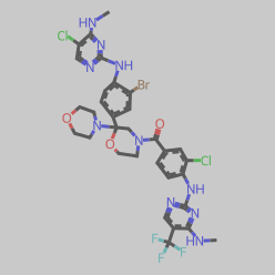 CNc1nc(Nc2ccc(C3(N4CCOCC4)CN(C(=O)c4ccc(Nc5ncc(C(F)(F)F)c(NC)n5)c(Cl)c4)CCO3)cc2Br)ncc1Cl